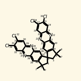 CC1(C)CC2(CC(C)(C)c3cc4nc5cc(Cl)c(Cl)cc5nc4cc32)c2cc3nc4cc(Cl)c(Cl)cc4nc3cc21